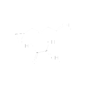 C=C(C)C(=O)O.C=CCOCC1CO1